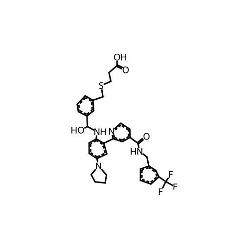 O=C(O)CCSCc1cccc(C(O)Nc2ccc(N3CCCC3)cc2-c2cc(C(=O)NCc3cccc(C(F)(F)F)c3)ccn2)c1